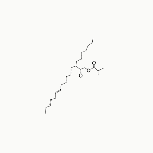 CCC=CCC=CCCCCCC(CCCCCCC)C(=O)COC(=O)C(C)C